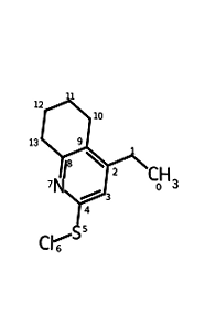 CCc1cc(SCl)nc2c1CCCC2